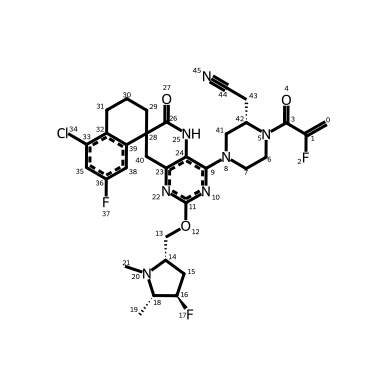 C=C(F)C(=O)N1CCN(c2nc(OC[C@@H]3C[C@@H](F)[C@H](C)N3C)nc3c2NC(=O)C2(CCCc4c(Cl)cc(F)cc42)C3)C[C@@H]1CC#N